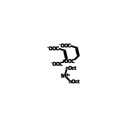 CCCCCCC[CH2][Sn+4][CH2]CCCCCCC.O=C([O-])/C=C\C(=O)[O-].O=C([O-])/C=C\C(=O)[O-]